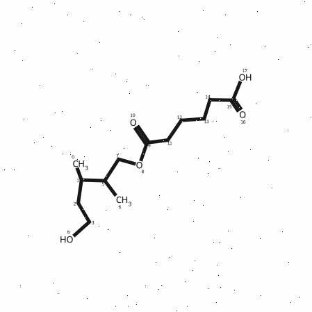 CC(CCO)C(C)COC(=O)CCCCC(=O)O